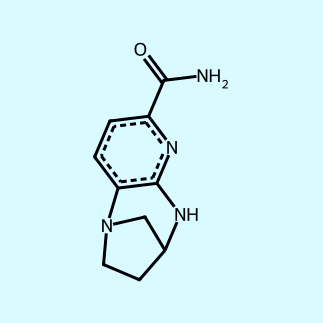 NC(=O)c1ccc2c(n1)NC1CCN2C1